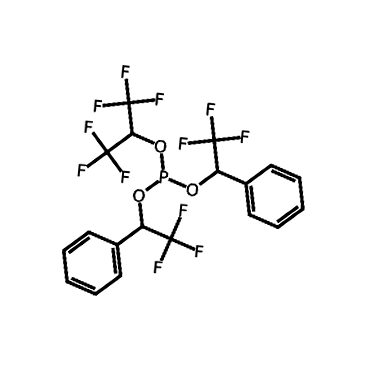 FC(F)(F)C(OP(OC(c1ccccc1)C(F)(F)F)OC(C(F)(F)F)C(F)(F)F)c1ccccc1